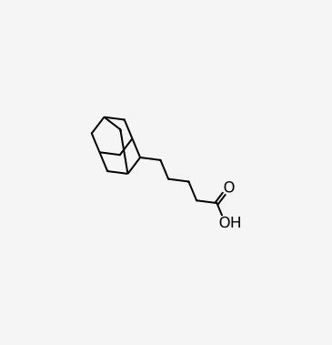 O=C(O)CCCCC1C2CC3CC(C2)CC1C3